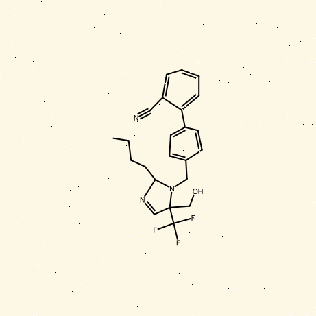 CCCCC1N=CC(CO)(C(F)(F)F)N1Cc1ccc(-c2ccccc2C#N)cc1